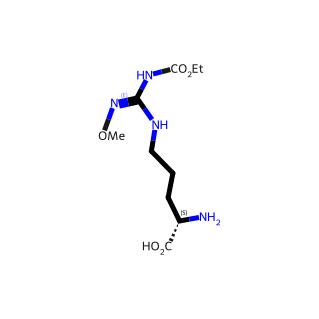 CCOC(=O)N/C(=N/OC)NCCC[C@H](N)C(=O)O